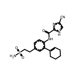 N#Cc1c[nH]c(C(=O)Nc2ccc(CCS(N)(=O)=O)cc2C2=CCCCC2)n1